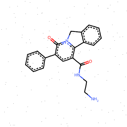 NCCNC(=O)c1cc(-c2ccccc2)c(=O)n2c1-c1ccccc1C2